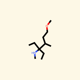 CCC(CC)(NC)C(C)CCOC